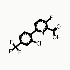 O=C(O)c1nc(-c2ccc(C(F)(F)F)cc2Cl)ccc1F